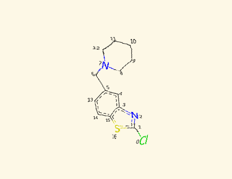 Clc1nc2cc(CN3CCCCC3)ccc2s1